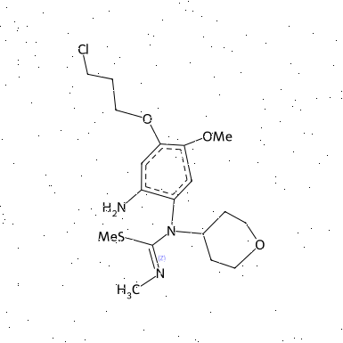 C/N=C(\SC)N(c1cc(OC)c(OCCCCl)cc1N)C1CCOCC1